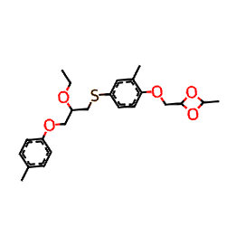 CCOC(COc1ccc(C)cc1)CSc1ccc(OCC2OC(C)O2)c(C)c1